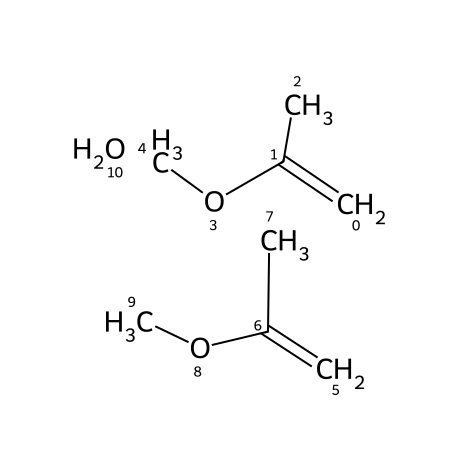 C=C(C)OC.C=C(C)OC.O